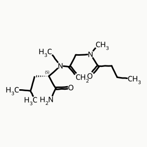 C=C(CN(C)C(=O)CCC)N(C)[C@@H](CC(C)C)C(N)=O